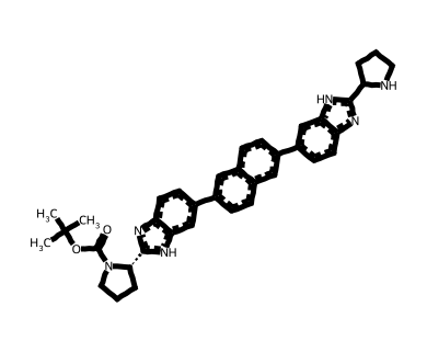 CC(C)(C)OC(=O)N1CCC[C@H]1c1nc2ccc(-c3ccc4cc(-c5ccc6nc(C7CCCN7)[nH]c6c5)ccc4c3)cc2[nH]1